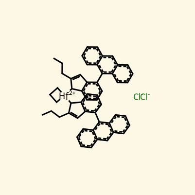 CCCC1=Cc2c(-c3c4ccccc4cc4ccccc34)cccc2[CH]1[Hf+2]1([CH]2C(CCC)=Cc3c(-c4c5ccccc5cc5ccccc45)cccc32)[CH2]C[CH2]1.[Cl-].[Cl-]